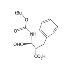 CC(C)(C)OC(=O)N[C@H]([C]=O)C(Cc1ccccc1)C(=O)O